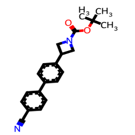 CC(C)(C)OC(=O)N1CC(c2ccc(-c3ccc(C#N)cc3)cc2)C1